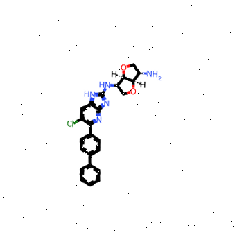 N[C@@H]1CO[C@@H]2C(Nc3nc4nc(-c5ccc(-c6ccccc6)cc5)c(Cl)cc4[nH]3)CO[C@H]12